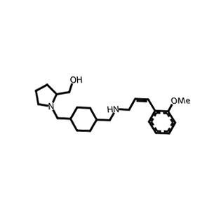 COc1ccccc1/C=C\CNCC1CCC(CN2CCCC2CO)CC1